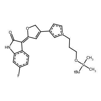 CC(C)(C)[Si](C)(C)OCCCn1ccc(C2=CC(=C3C(=O)Nc4cc(F)ccc43)OC2)c1